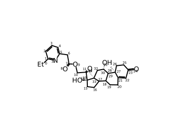 CCc1cccc(CC(=O)OCC(=O)[C@@]2(O)CCC3C4CCC5=CC(=O)CC[C@]5(C)C4[C@@H](O)C[C@@]32C)n1